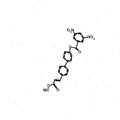 CC(C)(C)OC(=O)/C=C/c1ccc(-c2ccc(OC(=O)c3cc([N+](=O)[O-])cc([N+](=O)[O-])c3)cc2)cc1